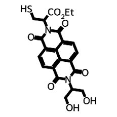 CCOC(=O)C(CS)N1C(=O)c2ccc3c4c(ccc(c24)C1=O)C(=O)N(C(CO)CO)C3=O